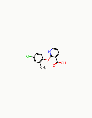 Cc1cc(Cl)ccc1Oc1ncccc1C(=O)O